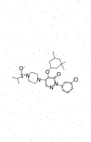 CC1CC(Oc2c(N3CCN([S+]([O-])C(C)C)CC3)cnn(-c3cccc(Cl)c3)c2=O)CC(C)(C)C1